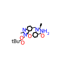 C#CCN(Cc1ccc2nc(C)n(COC(=O)C(C)(C)C)c(=O)c2c1)c1ccccc1C(N)=O